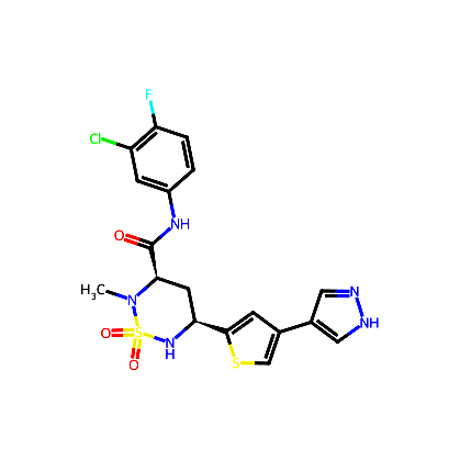 CN1[C@@H](C(=O)Nc2ccc(F)c(Cl)c2)C[C@@H](c2cc(-c3cn[nH]c3)cs2)NS1(=O)=O